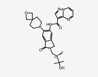 CC(C)(O)[C@H](F)CN1Cc2cc(NC(=O)c3cnn4cccnc34)c(N3CCC4(CC3)COC4)cc2C1=O